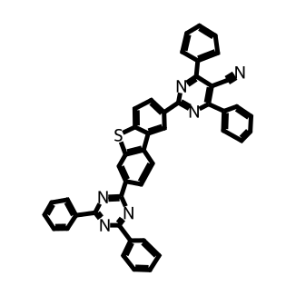 N#Cc1c(-c2ccccc2)nc(-c2ccc3sc4cc(-c5nc(-c6ccccc6)nc(-c6ccccc6)n5)ccc4c3c2)nc1-c1ccccc1